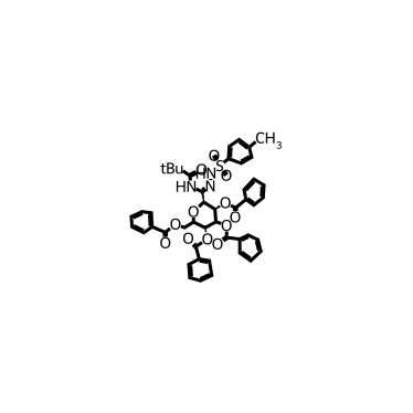 Cc1ccc(S(=O)(=O)NN=C(NC(=O)C(C)(C)C)[C@@H]2OC(COC(=O)c3ccccc3)[C@@H](OC(=O)c3ccccc3)C(OC(=O)c3ccccc3)[C@@H]2OC(=O)c2ccccc2)cc1